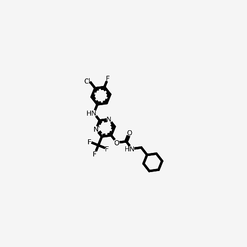 O=C(NCC1CCCCC1)Oc1cnc(Nc2ccc(F)c(Cl)c2)nc1C(F)(F)F